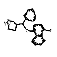 Fc1ccc(OC(c2ccccc2)C2CCNC2)c2ccccc12